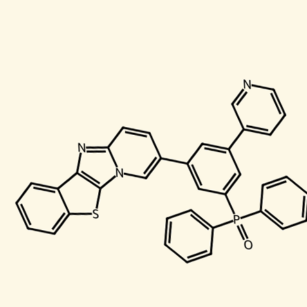 O=P(c1ccccc1)(c1ccccc1)c1cc(-c2cccnc2)cc(-c2ccc3nc4c5ccccc5sc4n3c2)c1